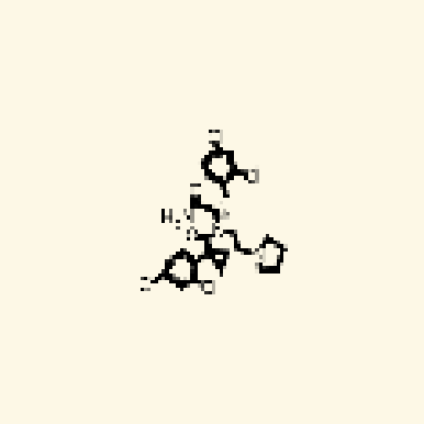 NC(=O)[C@H](Cc1ccc(Cl)cc1Cl)N(CCN1CCCC1)C(=O)C1(c2ccc(Cl)cc2Cl)CC1